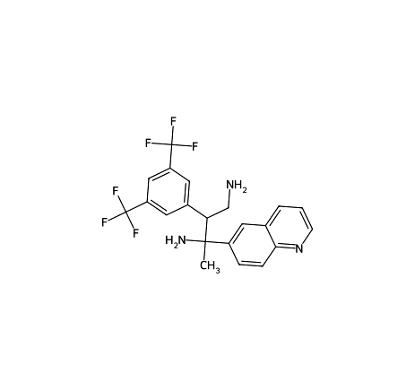 CC(N)(c1ccc2ncccc2c1)C(CN)c1cc(C(F)(F)F)cc(C(F)(F)F)c1